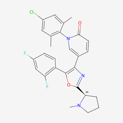 Cc1cc(Cl)cc(C)c1-n1cc(-c2nc([C@H]3CCCN3C)oc2-c2ccc(F)cc2F)ccc1=O